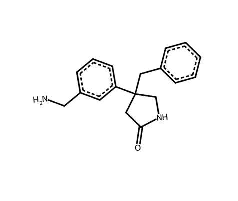 NCc1cccc(C2(Cc3ccccc3)CNC(=O)C2)c1